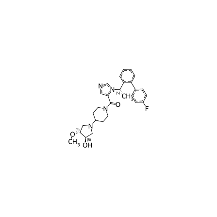 CO[C@@H]1CN(C2CCN(C(=O)c3cncn3[C@@H](C)c3ccccc3-c3ccc(F)cc3)CC2)C[C@H]1O